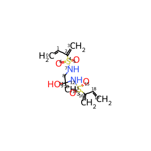 C=CC(=C)S(=O)(=O)NCC(C)(O)NS(=O)(=O)C(=C)C=C